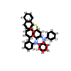 C1=Cc2c(ccc3c2sc2cc(N(c4ccccc4)c4ccccc4)c(N(c4ccccc4)c4ccccc4-c4ccccc4)cc23)CC1